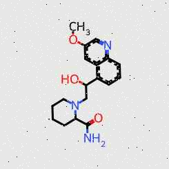 COc1cnc2cccc(C(O)CN3CC[CH]CC3C(N)=O)c2c1